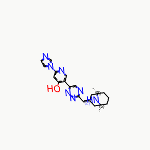 C[C@]12CCC[C@](C)(C/C(=C\c3ncc(-c4cnc(-n5ccnc5)cc4O)nn3)C1)N2